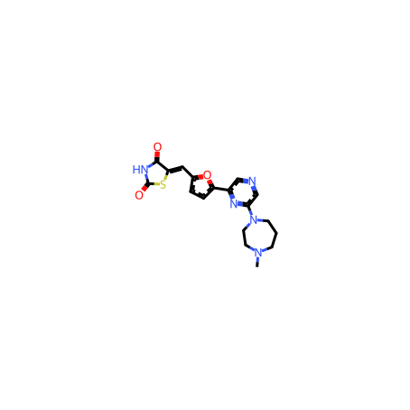 CN1CCCN(c2cncc(-c3ccc(/C=C4\SC(=O)NC4=O)o3)n2)CC1